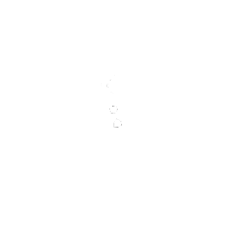 CCCC(C)COC(=O)C1=CCC(c2ccc(-c3ccc(C4CCC(CCC)CC4)cc3)cc2)CC1